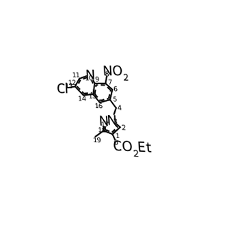 CCOC(=O)c1cn(Cc2cc([N+](=O)[O-])c3ncc(Cl)cc3c2)nc1C